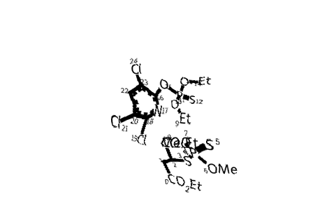 CCOC(=O)CC(SP(=S)(OC)OC)C(=O)OCC.CCOP(=S)(OCC)Oc1nc(Cl)c(Cl)cc1Cl